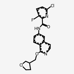 O=C(Nc1ccc2c(OCC3CCOC3)nccc2c1)c1nc(Cl)ccc1F